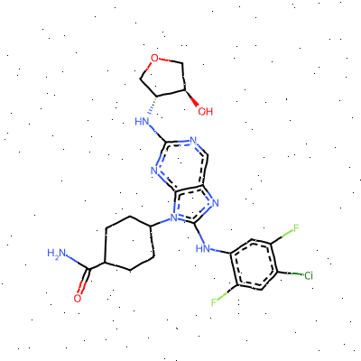 NC(=O)C1CCC(n2c(Nc3cc(F)c(Cl)cc3F)nc3cnc(N[C@@H]4COC[C@H]4O)nc32)CC1